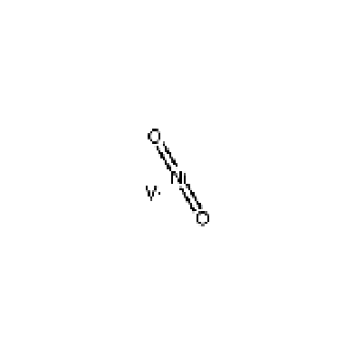 [O]=[Ni]=[O].[V]